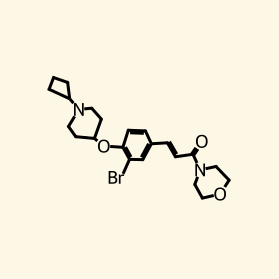 O=C(C=Cc1ccc(OC2CCN(C3CCC3)CC2)c(Br)c1)N1CCOCC1